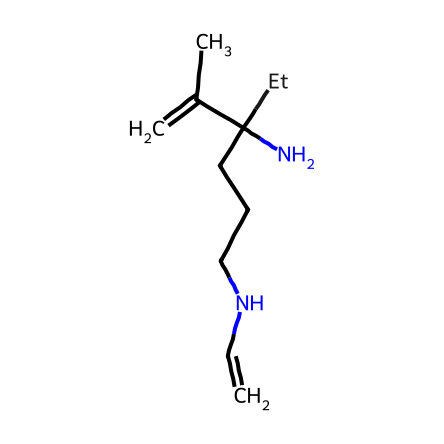 C=CNCCCC(N)(CC)C(=C)C